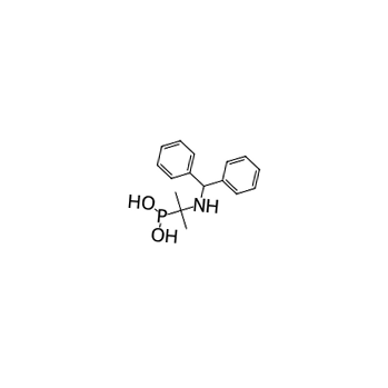 CC(C)(NC(c1ccccc1)c1ccccc1)P(O)O